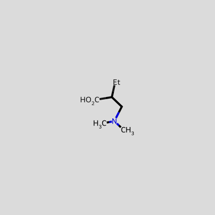 CCC(CN(C)C)C(=O)O